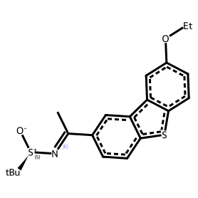 CCOc1ccc2sc3ccc(/C(C)=N/[S@+]([O-])C(C)(C)C)cc3c2c1